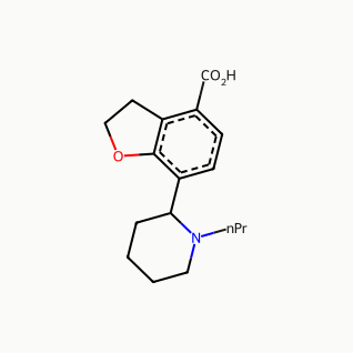 CCCN1CCCCC1c1ccc(C(=O)O)c2c1OCC2